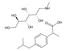 CC(C)Cc1ccc(C(C)C(=O)O)cc1.CNC[C@H](O)[C@@H](O)[C@H](O)[C@H](O)CO